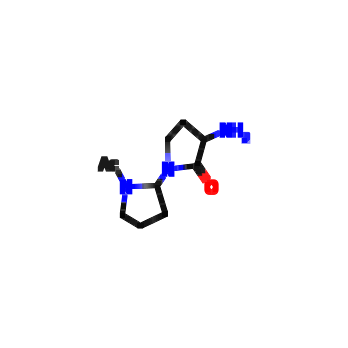 CC(=O)N1CCCC1N1CCC(N)C1=O